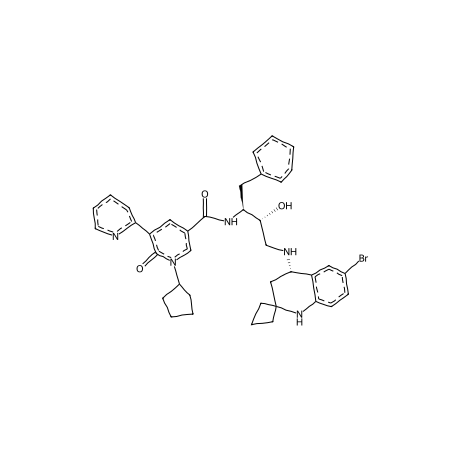 O=C(N[C@@H](Cc1ccccc1)[C@H](O)CN[C@H]1CC2(CCC2)Nc2ccc(Br)cc21)c1cc(-c2ccccn2)c(=O)n(C2CCCC2)c1